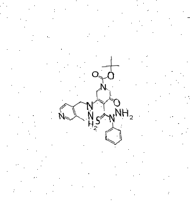 Cc1cnccc1CN(N)C1=C(C(=S)N(N)c2ccccc2)C(=O)CN(C(=O)OC(C)(C)C)C1